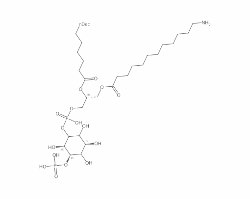 CCCCCCCCCCCCCCCC(=O)O[C@H](COC(=O)CCCCCCCCCCCN)COP(=O)(O)OC1C(O)[C@@H](O)C(O)[C@@H](OP(=O)(O)O)[C@H]1O